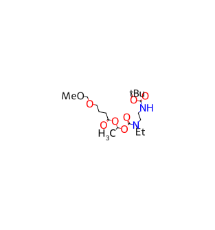 CCN(CCNC(=O)OC(C)(C)C)C(=O)OC(C)OC(=O)CCCOCOC